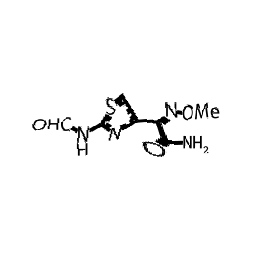 CON=C(C(N)=O)c1csc(NC=O)n1